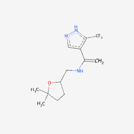 C=C(NCC1CCC(C)(C)O1)c1cn[nH]c1C(F)(F)F